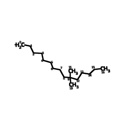 [CH2]CCCCCCCCC(C)(C)CCCCC